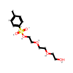 Cc1ccc(S(=O)(=O)OCCOCCOCCO)cc1